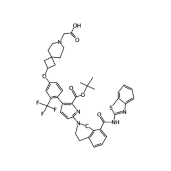 CC(C)(C)OC(=O)c1nc(N2CCc3cccc(C(=O)Nc4nc5ccccc5s4)c3C2)ccc1-c1ccc(OC2CC3(CCN(CC(=O)O)CC3)C2)cc1C(F)(F)F